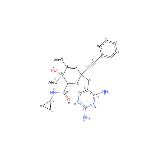 COC1=CC(C#Cc2ccccc2)(Cc2cnc(N)nc2N)C=C(C(=O)NC2CC2)C1(O)OC